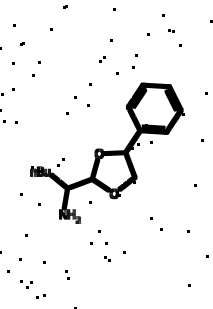 CCCCC(N)C1OCC(c2ccccc2)O1